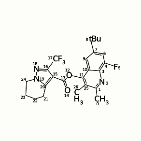 Cc1nc2c(F)cc(C(C)(C)C)cc2c(OC(=O)c2c(C(F)(F)F)nn3c2CCCC3)c1C